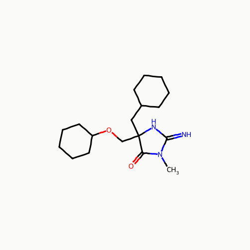 CN1C(=N)NC(COC2CCCCC2)(CC2CCCCC2)C1=O